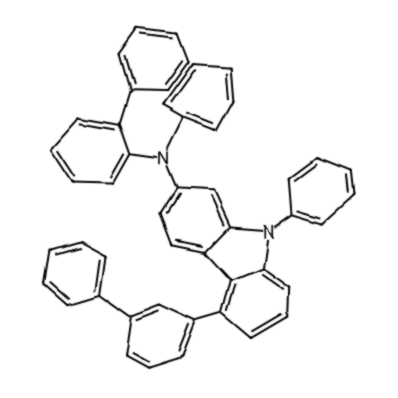 c1ccc(-c2cccc(-c3cccc4c3c3ccc(N(c5ccccc5)c5ccccc5-c5ccccc5)cc3n4-c3ccccc3)c2)cc1